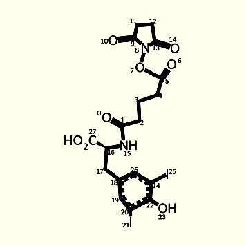 O=C(CCCC(=O)ON1C(=O)CCC1=O)N[C@@H](Cc1cc(I)c(O)c(I)c1)C(=O)O